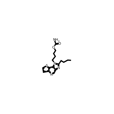 CCCCc1nc2cnc3ccsc3c2n1CCCCOC(N)=O